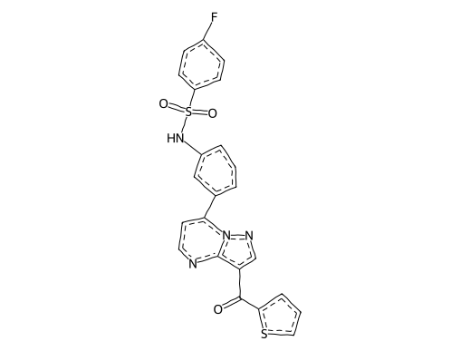 O=C(c1cccs1)c1cnn2c(-c3cccc(NS(=O)(=O)c4ccc(F)cc4)c3)ccnc12